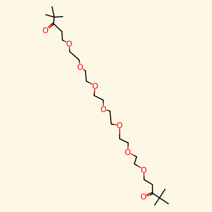 CC(C)(C)C(=O)CCOCCOCCOCCOCCOCCOCCOCCC(=O)C(C)(C)C